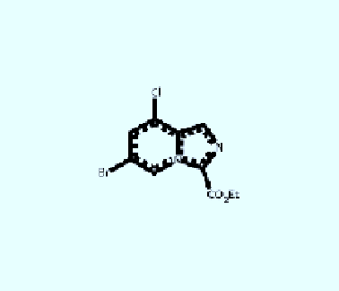 CCOC(=O)c1ncc2c(Cl)cc(Br)cn12